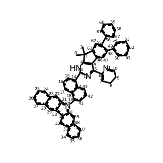 CC1(C)C2=C(C(C3=CCCC=N3)=NC(c3cccc4c(-n5c6cc7ccccc7cc6c6cc7ccccc7cc65)cccc34)N2)c2cc(-c3ccccc3)c(-c3ccccc3)cc21